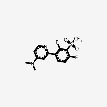 CN(C)c1ccnc(-c2ccc(F)c(S(=O)(=O)C(F)(F)F)c2F)c1